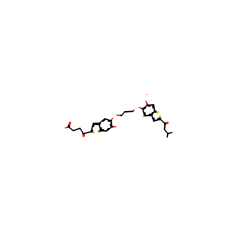 COc1cc2sc(C(=O)CC(C)C)cc2c(F)c1OCCCOc1cc2cc(C(=O)CCC(=O)O)sc2cc1O